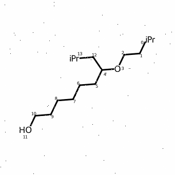 CC(C)CCOC(CCCCCCO)CC(C)C